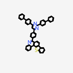 c1ccc(-c2ccc(-c3cc(-c4ccc(-c5nc6ccccc6c6c5ccc5c7ccccc7sc56)cc4)nc(-c4ccc(-c5ccccc5)cc4)n3)cc2)cc1